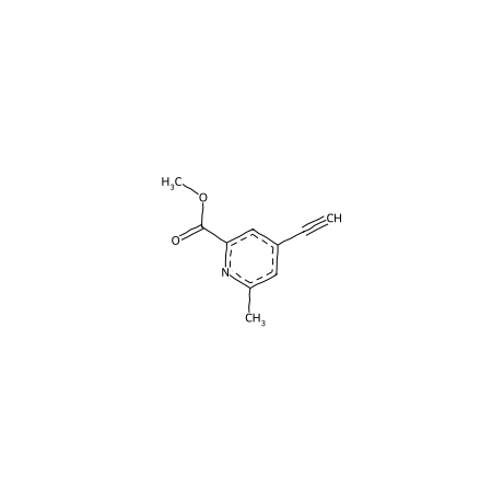 C#Cc1cc(C)nc(C(=O)OC)c1